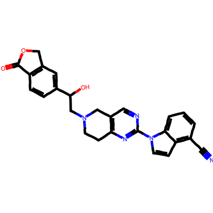 N#Cc1cccc2c1ccn2-c1ncc2c(n1)CCN(CC(O)c1ccc3c(c1)COC3=O)C2